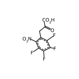 O=C(O)C(=O)Cc1c(F)c(F)c(F)c(F)c1[N+](=O)[O-]